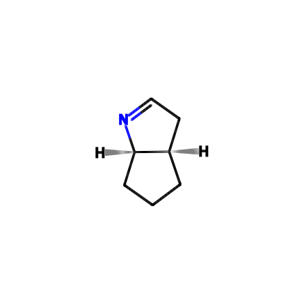 C1=N[C@@H]2CCC[C@@H]2C1